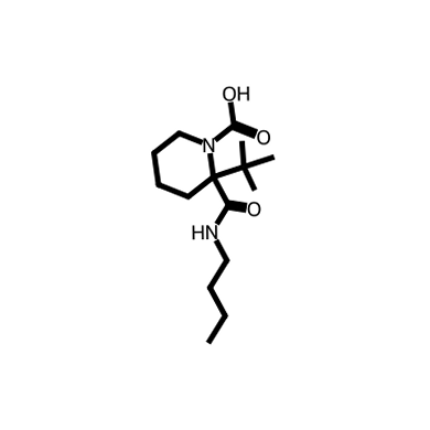 CCCCNC(=O)C1(C(C)(C)C)CCCCN1C(=O)O